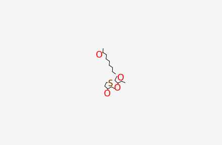 CC1OCCC1=O.CC1SCCC1=O.CCCCCCCC(C)=O